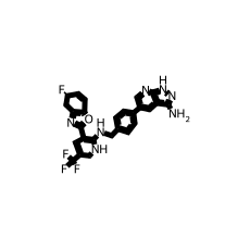 Nc1n[nH]c2ncc(-c3ccc(CNC4=C(c5nc6c(o5)C=C[C@@H](F)C6)C=C(C(F)(F)F)CN4)cc3)cc12